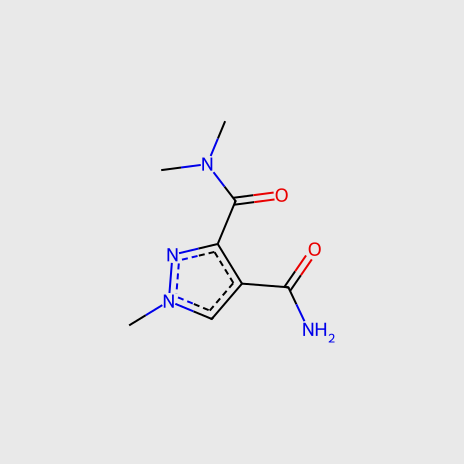 CN(C)C(=O)c1nn(C)cc1C(N)=O